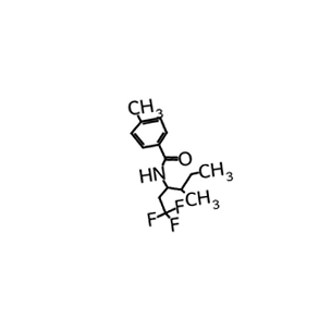 CCC(C)C(CC(F)(F)F)NC(=O)c1ccc(C)cc1